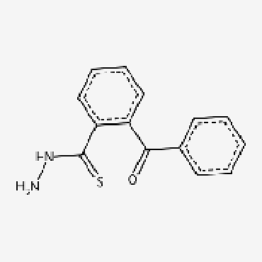 NNC(=S)c1ccccc1C(=O)c1ccccc1